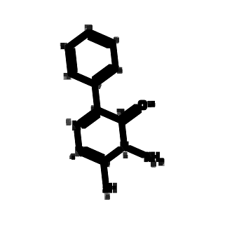 Nn1c(S)nnc(-c2ccccc2)c1=O